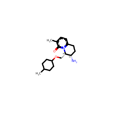 Cc1ccc2n(c1=O)[C@@H](COC1CCC(C)CC1)[C@@H](N)CC2